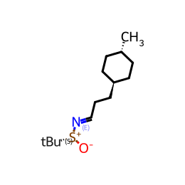 CC(C)(C)[S@@+]([O-])/N=C/CC[C@H]1CC[C@H](C)CC1